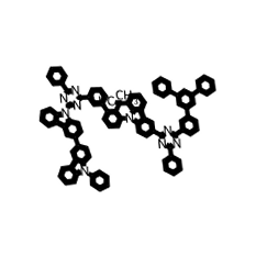 CC1(C)c2c(-c3cccc(-c4nc(-c5ccccc5)nc(-n5c6ccccc6c6cc(-c7ccc8c(c7)c7ccccc7n8-c7ccccc7)ccc65)n4)c3)cccc2-n2c3ccc(-c4nc(-c5ccccc5)nc(-c5cccc(-c6cc(-c7ccccc7)cc(-c7ccccc7)c6)c5)n4)cc3c3cccc1c32